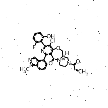 C=CC(=O)N1CCN2C(=O)c3c(-c4cccc5c4cnn5C)nc(-c4c(O)cccc4F)c(Cl)c3OC[C@H]2C1